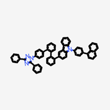 c1ccc(-c2nc(-c3ccccc3)n(-c3ccc(-c4ccccc4-c4ccccc4-c4ccc5c(c4)c4ccccc4n5-c4ccc(-c5cccc6ccccc56)cc4)cc3)n2)cc1